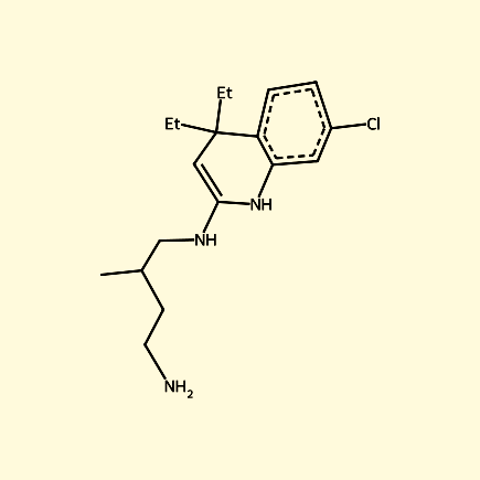 CCC1(CC)C=C(NCC(C)CCN)Nc2cc(Cl)ccc21